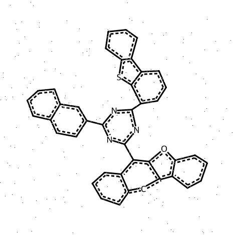 c1ccc2cc(-c3nc(-c4c5ccccc5cc5c4oc4ccccc45)nc(-c4cccc5c4sc4ccccc45)n3)ccc2c1